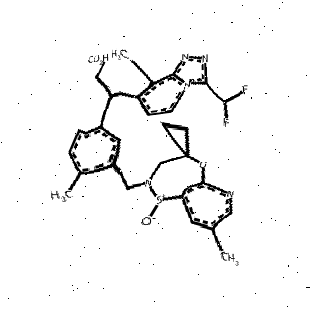 Cc1cnc2c(c1)[S+]([O-])N(Cc1cc(C(CC(=O)O)c3ccn4c(C(F)F)nnc4c3C)ccc1C)CC1(CC1)O2